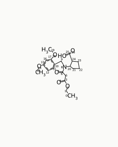 CCOC(=O)CC(=O)N(Cc1ccc(OC)cc1OC)C1CCCC1C(=O)O